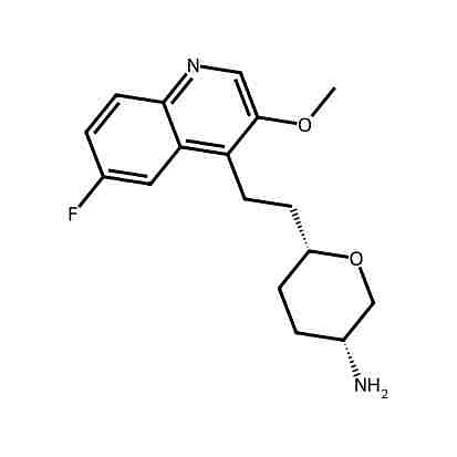 COc1cnc2ccc(F)cc2c1CC[C@H]1CC[C@@H](N)CO1